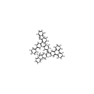 CC1(C)c2ccccc2-c2ccc(N(c3ccc(-c4ccc5c(sc6ccccc65)c4-c4ccc(-c5ccccc5)cc4)cc3)c3ccc4c5ccccc5c5ccccc5c4c3)cc21